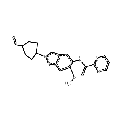 COc1cc2nn(C3CCC(C=O)CC3)cc2cc1NC(=O)c1ncccn1